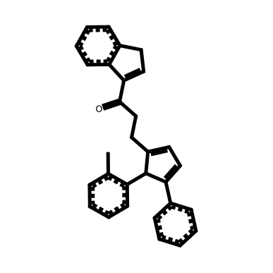 Cc1ccccc1C1C(CCC(=O)C2=CCc3ccccc32)=CC=C1c1ccccc1